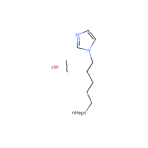 Br.CC.CCCCCCCCCCCCn1ccnc1